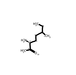 CCC(C)CC[C@H](N)C(C)=O